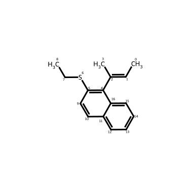 CC=C(C)c1c(SCC)ccc2ccccc12